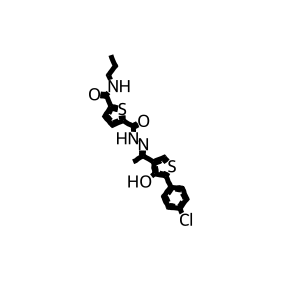 CCCNC(=O)c1ccc(C(=O)N/N=C(\C)c2csc(-c3ccc(Cl)cc3)c2O)s1